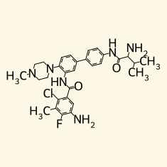 Cc1c(F)c(N)cc(C(=O)Nc2cc(-c3ccc(NC(=O)C(N)C(C)C)cc3)ccc2N2CCN(C)CC2)c1Cl